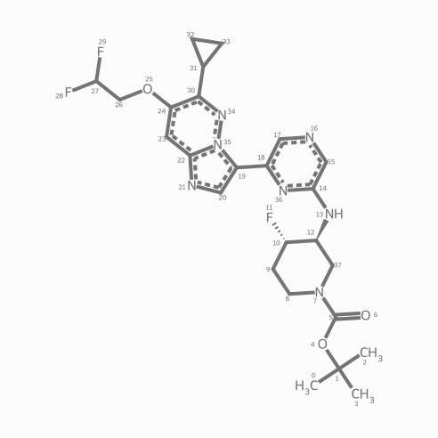 CC(C)(C)OC(=O)N1CC[C@H](F)[C@@H](Nc2cncc(-c3cnc4cc(OCC(F)F)c(C5CC5)nn34)n2)C1